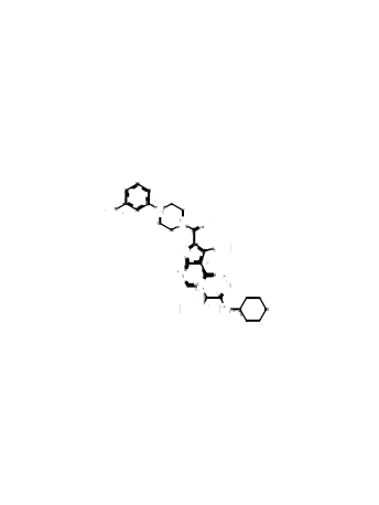 Cc1c(C(=O)N2CCN(c3cccc(Cl)c3)CC2)sc2ncn(C(C)C(=O)NC3CCCCC3)c(=O)c12